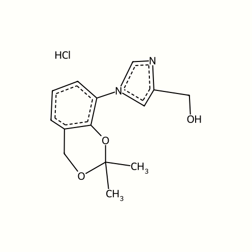 CC1(C)OCc2cccc(-n3cnc(CO)c3)c2O1.Cl